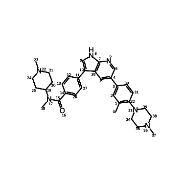 Cc1cc(-c2cnc3[nH]cc(-c4ccc(C(=O)N(C)C5CCN(C)CC5)cc4)c3c2)ccc1N1CCN(C)CC1